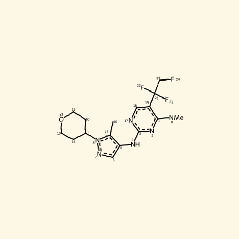 CNc1nc(Nc2cnn(C3CCOCC3)c2C)ncc1C(F)(F)CF